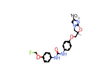 C[C@]1(COc2ccc(NC(=O)Nc3ccc(OCF)cc3)cc2)Cn2cc([N+](=O)[O-])nc2O1